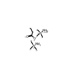 CCC(=O)[O-].C[N+](C)(C)N.C[N+](C)(C)N.[I-]